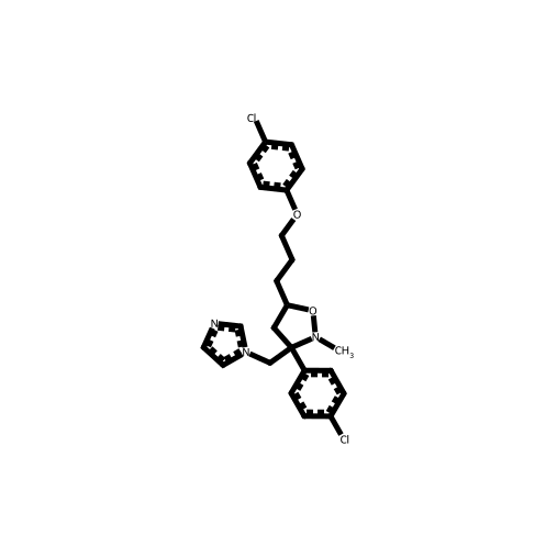 CN1OC(CCCOc2ccc(Cl)cc2)CC1(Cn1ccnc1)c1ccc(Cl)cc1